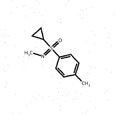 CN=S(=O)(c1ccc(C)cc1)C1CC1